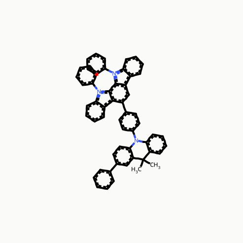 CC1(C)c2ccccc2N(c2ccc(-c3cc4c5ccccc5n(-c5ccccc5)c4c4c3c3ccccc3n4-c3ccccc3)cc2)c2ccc(-c3ccccc3)cc21